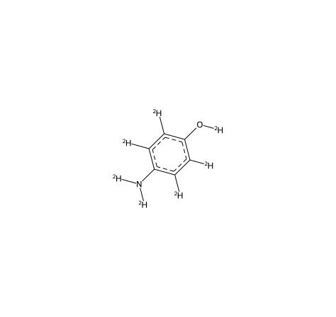 [2H]Oc1c([2H])c([2H])c(N([2H])[2H])c([2H])c1[2H]